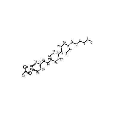 CCCCCC[C@H]1CC[C@H]([C@H]2CC[C@H](CCc3ccc(OC(C)=O)cc3)CC2)CC1